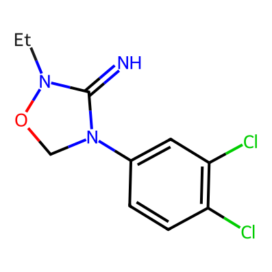 CCN1OCN(c2ccc(Cl)c(Cl)c2)C1=N